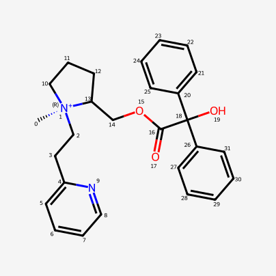 C[N@+]1(CCc2ccccn2)CCCC1COC(=O)C(O)(c1ccccc1)c1ccccc1